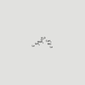 O.O.[CaH2].[La].[La].[Mn].[Mn].[SrH2]